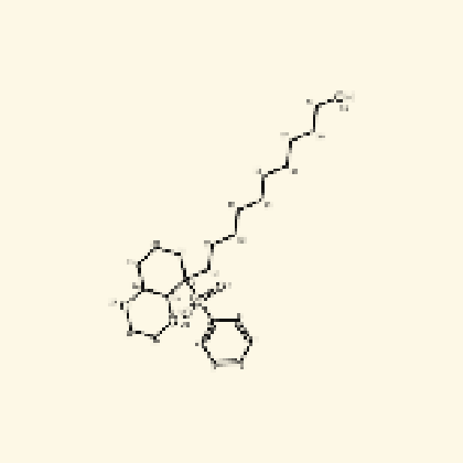 O=S(=O)(c1ccccc1)C1(CCCCCCCCCCO)CCCC2OCCOC21